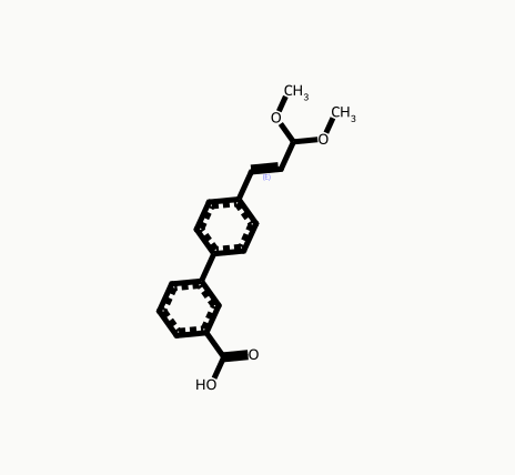 COC(/C=C/c1ccc(-c2cccc(C(=O)O)c2)cc1)OC